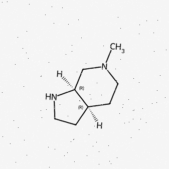 CN1CC[C@H]2CCN[C@H]2C1